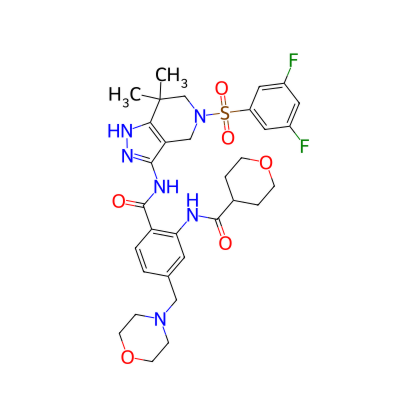 CC1(C)CN(S(=O)(=O)c2cc(F)cc(F)c2)Cc2c(NC(=O)c3ccc(CN4CCOCC4)cc3NC(=O)C3CCOCC3)n[nH]c21